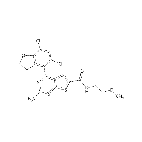 COCCNC(=O)c1cc2c(-c3c(Cl)cc(Cl)c4c3CCO4)nc(N)nc2s1